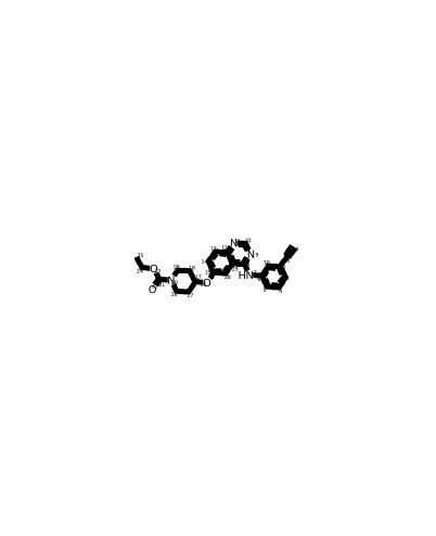 C#Cc1cccc(Nc2ncnc3ccc(OC4CCN(C(=O)OCC)CC4)cc23)c1